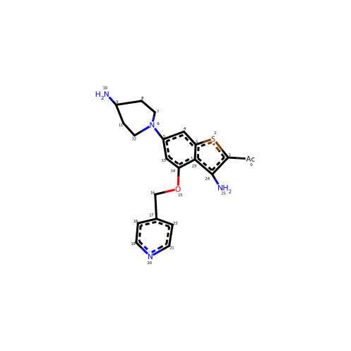 CC(=O)c1sc2cc(N3CCC(N)CC3)cc(OCc3ccncc3)c2c1N